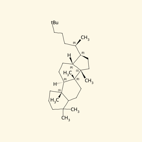 C[C@H](CCCC(C)(C)C)[C@H]1CC[C@@]2(C)[C@@H]1CC[C@@H]1[C@@]3(C)CCCC(C)(C)C3CC[C@]12C